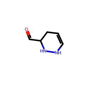 O=CC1CC=CNN1